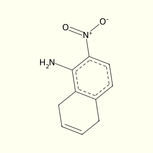 Nc1c([N+](=O)[O-])ccc2c1CC=CC2